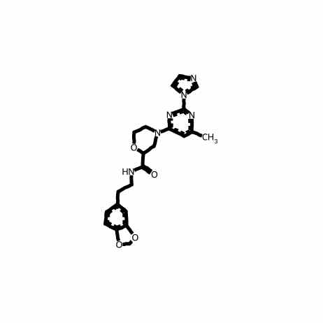 Cc1cc(N2CCOC(C(=O)NCCc3ccc4c(c3)OCO4)C2)nc(-n2ccnc2)n1